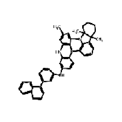 Cc1cc2c3c(c1)N1c4c(cccc4C4(C)CCCCC14C)B3c1ccc(Nc3cccc(-c4cccc5ccccc45)c3)cc1N2